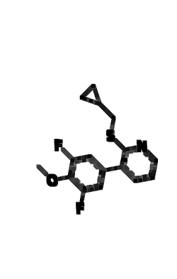 COc1c(F)cc(-c2cccnc2SCC2CC2)cc1F